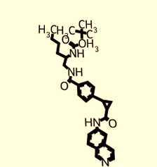 CCCCC(CNC(=O)c1ccc(C2CC2C(=O)Nc2ccc3cnccc3c2)cc1)NC(=O)OC(C)(C)C